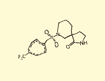 O=C1NCCC12CCCN(S(=O)(=O)c1ccc(C(F)(F)F)cc1)C2